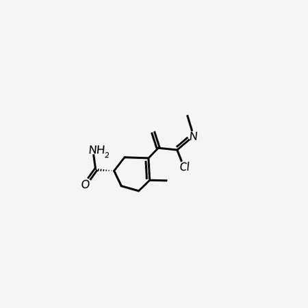 C=C(C1=C(C)CC[C@H](C(N)=O)C1)/C(Cl)=N\C